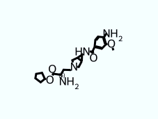 COc1cc(C(=O)NC2C3CN(CC[C@H](N)C(=O)OC4CCCC4)CC32)ccc1N